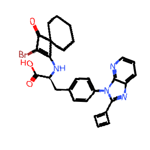 O=C(O)[C@H](Cc1ccc(-n2c(C3=CC=C3)nc3cccnc32)cc1)NC1=C(Br)C(=O)C12CCCCC2